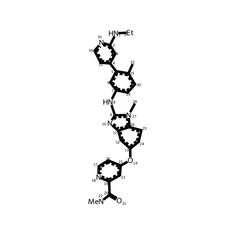 CCNc1cc(-c2cc(Nc3nc4cc(Oc5ccnc(C(=O)NC)c5)ccc4n3C)ccc2C)ccn1